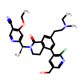 CCOc1cc([C@H](C)N2CCc3c(cc(CCN(C)CC)cc3-c3cc(CO)cnc3Cl)C2=O)ncc1C#N